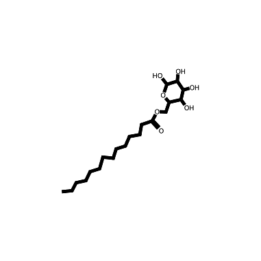 CCCCCCCCCCCCCC(=O)OCC1OC(O)C(O)C(O)C1O